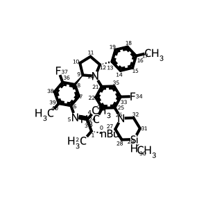 CCCC[C@H](C)/C(C)=N/c1cc([C@H]2CC[C@H](c3ccc(C)cc3)N2c2cc(C)c(N3CC[SiH](C)CC3)c(F)c2)c(F)cc1C